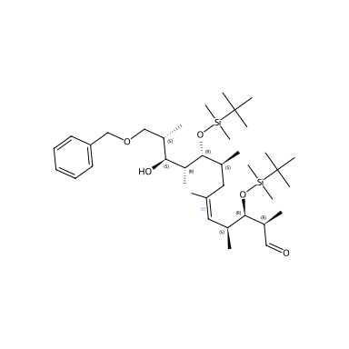 C/C(=C/[C@H](C)[C@@H](O[Si](C)(C)C(C)(C)C)[C@@H](C)C=O)C[C@H](C)[C@@H](O[Si](C)(C)C(C)(C)C)[C@H](C)[C@@H](O)[C@@H](C)COCc1ccccc1